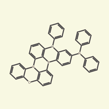 c1ccc(N(c2ccccc2)c2ccc3c(c2)N(c2ccccc2)c2cccc4c2B3c2cccc3c2N4c2ccccc2O3)cc1